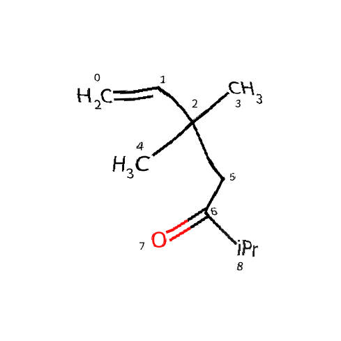 C=CC(C)(C)CC(=O)C(C)C